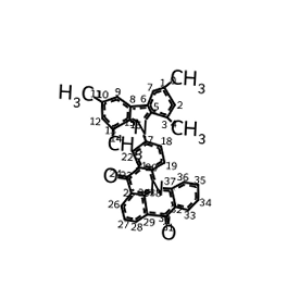 Cc1cc(C)c2c(c1)c1cc(C)cc(C)c1n2-c1ccc2c(c1)c(=O)c1cccc3c(=O)c4ccccc4n2c31